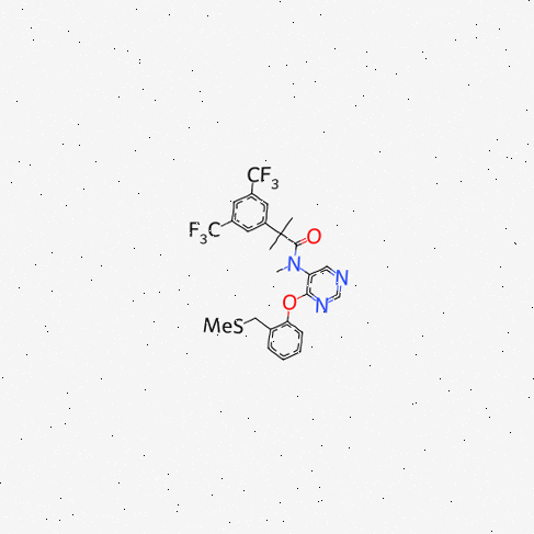 CSCc1ccccc1Oc1ncncc1N(C)C(=O)C(C)(C)c1cc(C(F)(F)F)cc(C(F)(F)F)c1